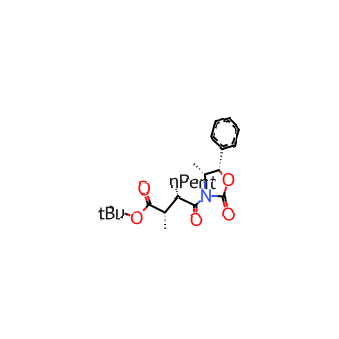 CCCCC[C@H](C(=O)N1C(=O)O[C@@H](c2ccccc2)[C@H]1C)[C@H](C)C(=O)OC(C)(C)C